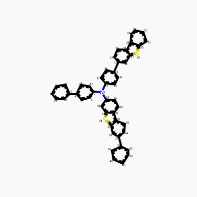 c1ccc(-c2ccc(N(c3ccc(-c4ccc5c(c4)sc4ccccc45)cc3)c3ccc4c(c3)sc3cc(-c5ccccc5)ccc34)cc2)cc1